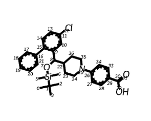 CC(C)(C)[Si](C)(C)OC(c1cc(Cl)ccc1-c1ccccc1)C1CCN(c2ccc(C(=O)O)cc2)CC1